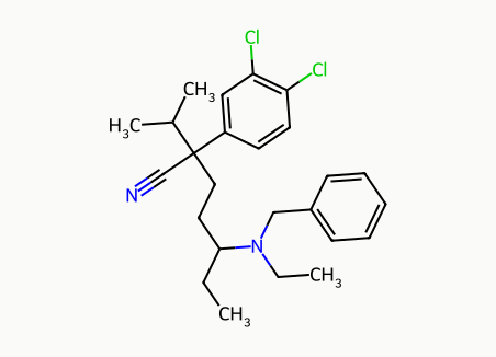 CCC(CCC(C#N)(c1ccc(Cl)c(Cl)c1)C(C)C)N(CC)Cc1ccccc1